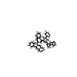 c1ccc(-c2nc(-c3cc(-n4c5ccccc5c5cc6ccccc6cc54)cc4ccccc34)nc(-c3cccc4c3sc3ccccc34)n2)cc1